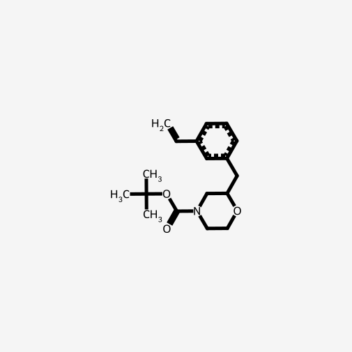 C=Cc1cccc(CC2CN(C(=O)OC(C)(C)C)CCO2)c1